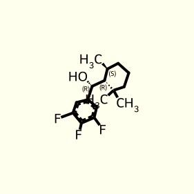 C[C@H]1CCCC(C)(C)[C@@H]1[C@@H](O)c1cc(F)c(F)c(F)c1